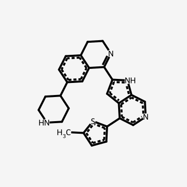 Cc1ccc(-c2cncc3[nH]c(C4=NCCc5ccc(C6CCNCC6)cc54)cc23)s1